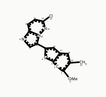 COc1cc2sc(-c3cnc4ccc(Cl)nn34)cc2cc1C